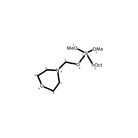 CCCCCCCC[Si](OC)(OC)OCN1CCOCC1